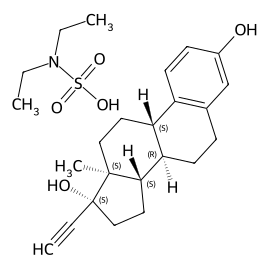 C#C[C@]1(O)CC[C@H]2[C@@H]3CCc4cc(O)ccc4[C@H]3CC[C@@]21C.CCN(CC)S(=O)(=O)O